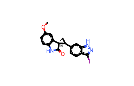 COc1ccc2c(c1)[C@]1(CC1c1ccc3c(I)n[nH]c3c1)C(=O)N2